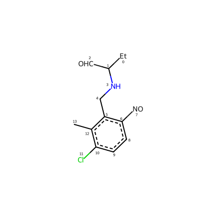 CCC(C=O)NCc1c(N=O)ccc(Cl)c1C